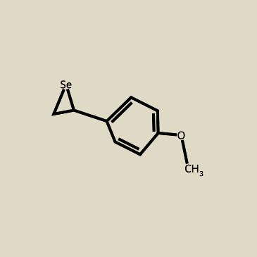 COc1ccc(C2C[Se]2)cc1